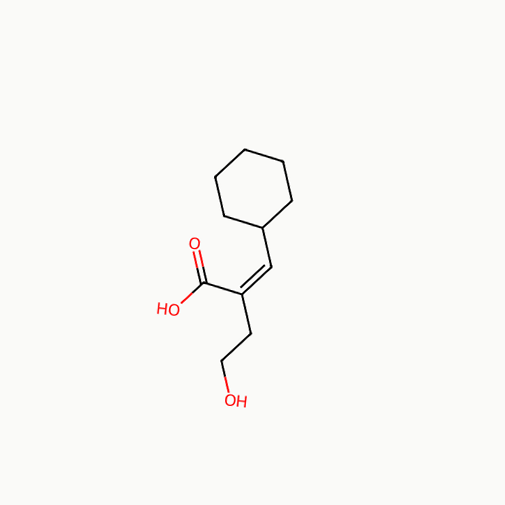 O=C(O)C(=CC1CCCCC1)CCO